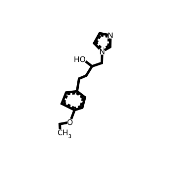 CCOc1ccc(CCC(O)Cn2ccnc2)cc1